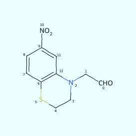 O=CCN1CCSc2ccc([N+](=O)[O-])cc21